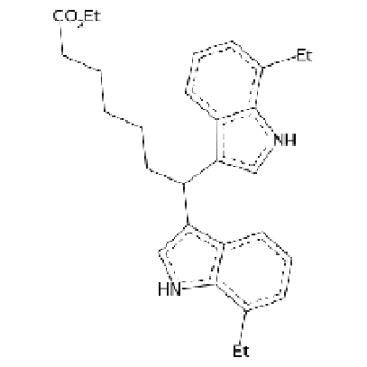 CCOC(=O)CCCCCC(c1c[nH]c2c(CC)cccc12)c1c[nH]c2c(CC)cccc12